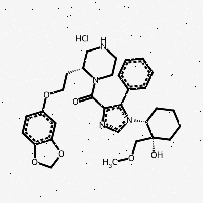 COC[C@]1(O)CCCC[C@H]1n1cnc(C(=O)N2CCNC[C@H]2CCOc2ccc3c(c2)OCO3)c1-c1ccccc1.Cl